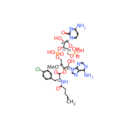 C=CCCC(=O)N[C@@H](Cc1ccc(Cl)cc1)C(=O)O[C@@H]([C@@H](O)n1cnc2c(N)ncnc21)[C@@H](COP(=O)(O)O[C@H]1[C@@H](O)[C@H](n2ccc(N)nc2=O)O[C@@H]1COP(=O)(O)O)OC